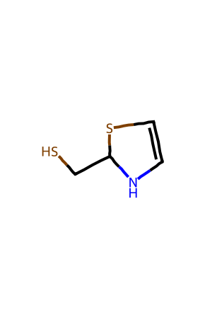 SCC1NC=CS1